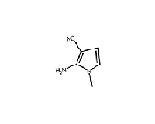 Cn1ccc(C#N)c1N